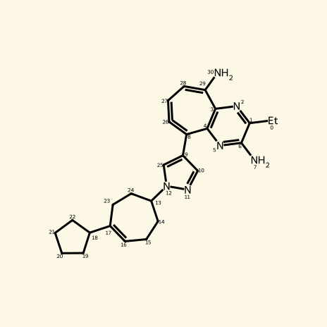 CCc1nc2c(nc1N)C(c1cnn(C3CCC=C(C4CCCC4)CC3)c1)=C=CC=C2N